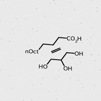 C=C.CCCCCCCCCCCC(=O)O.OCC(O)CO